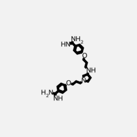 N=C(N)c1ccc(OCCCNC2CCN(CCCOc3ccc(C(=N)N)cc3)C2)cc1